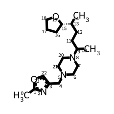 Cc1nc(CN2CCN(C(C)CCC(C)[C@@H]3CCCO3)CC2)co1